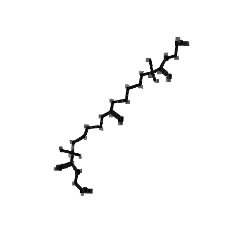 CCCCCCCCCCCOC(=O)C(C)(C)CCCCCC(=O)CCCCCC(C)(C)C(=O)OCCCCCCCCCCC